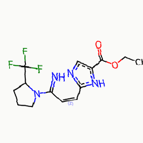 CCOC(=O)c1cnc(/C=C\C(=N)N2CCCC2C(F)(F)F)[nH]1